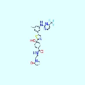 Cc1cc(Nc2nccc(C(F)(F)F)n2)cc(-c2cnc(C3(O)CCC(C(=O)NCCN4CCCC4=O)CC3)s2)c1